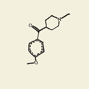 COc1ccc(C(=O)C2CCN(C)CC2)cc1